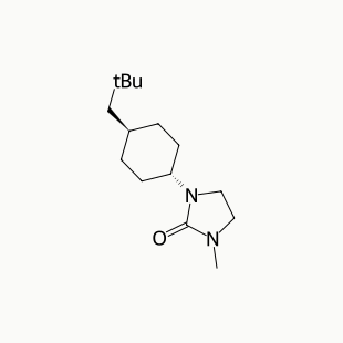 CN1CCN([C@H]2CC[C@H](CC(C)(C)C)CC2)C1=O